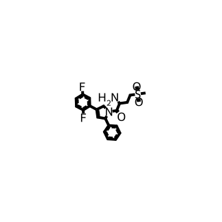 CS(=O)(=O)CCC(N)C(=O)N1CC(c2cc(F)ccc2F)=CC1c1ccccc1